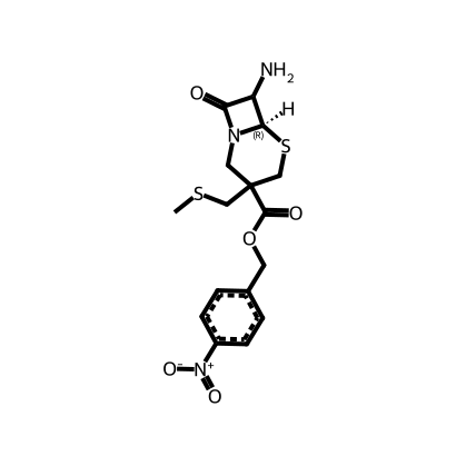 CSCC1(C(=O)OCc2ccc([N+](=O)[O-])cc2)CS[C@@H]2C(N)C(=O)N2C1